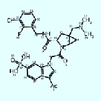 CC(=O)c1cn(CC(=O)N2C3CC3(CN(C)C)C[C@H]2C(=O)NCc2cccc(Cl)c2F)c2cc(P(=O)(O)O)ccc12